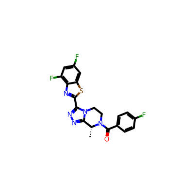 C[C@@H]1c2nnc(-c3nc4c(F)cc(F)cc4s3)n2CCN1C(=O)c1ccc(F)cc1